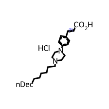 CCCCCCCCCCCCCCCCN1CCN(c2ccc(/C=C/C(=O)O)cc2)CC1.Cl